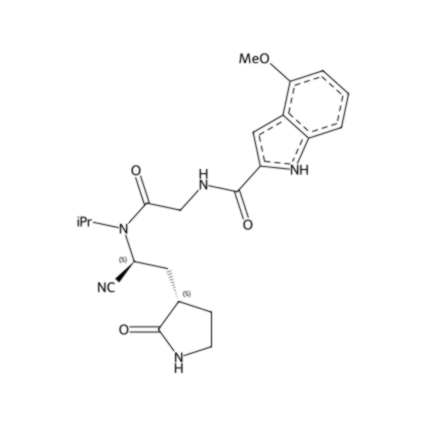 COc1cccc2[nH]c(C(=O)NCC(=O)N(C(C)C)[C@H](C#N)C[C@@H]3CCNC3=O)cc12